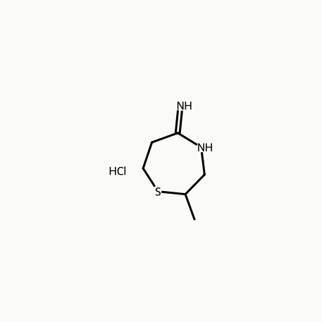 CC1CNC(=N)CCS1.Cl